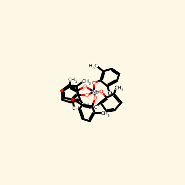 Cc1cccc(C)c1[O][Nb]([O]c1c(C)cccc1C)([O]c1c(C)cccc1C)([O]c1c(C)cccc1C)[O]c1c(C)cccc1C